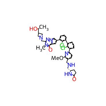 COc1nc(-c2cccc(-c3cccc(-c4cc5c(=O)n(C)c(CN6CC(C(C)O)C6)nn5c4)c3Cl)c2Cl)ccc1CNC[C@@H]1CCC(=O)N1